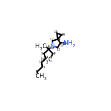 CCCCCCC(C)(CC)N1CC(N)C2(CC2)C1